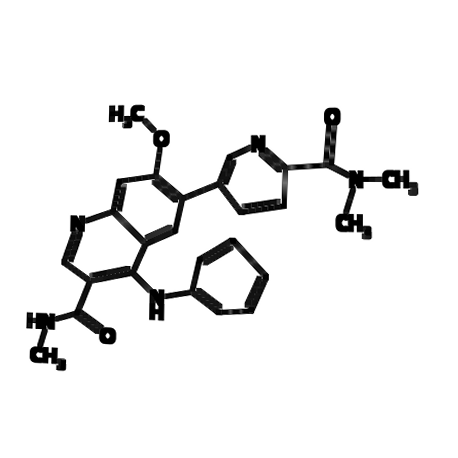 CNC(=O)c1cnc2cc(OC)c(-c3ccc(C(=O)N(C)C)nc3)cc2c1Nc1ccccc1